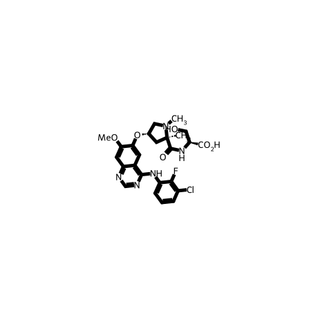 COc1cc2ncnc(Nc3cccc(Cl)c3F)c2cc1O[C@@H]1CN(C)[C@@](C)(C(=O)N[C@@H](CO)C(=O)O)C1